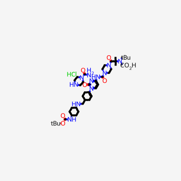 CC(C)(C)OC(=O)N[C@H]1CC[C@H](NCC2CC=C(n3ccc(NC(=O)N4CCN(C(=O)C(C)(C)N(C(=O)O)C(C)(C)C)CC4)nc3=O)CC2)CC1.Cl.NC(=O)N1CCNCC1